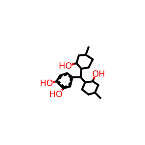 CC1CCC(C(c2ccc(O)c(O)c2)C2CCC(C)CC2O)C(O)C1